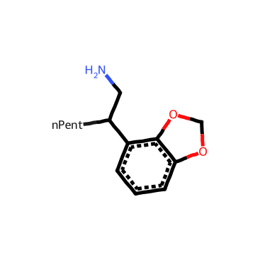 CCCCCC(CN)c1cccc2c1OCO2